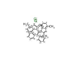 CC1=Cc2c(C)cccc2[CH]1[Ti+2](=[C](c1ccccc1)c1ccccc1)[CH]1C(C)=Cc2c(C)cccc21.[Cl-].[Cl-]